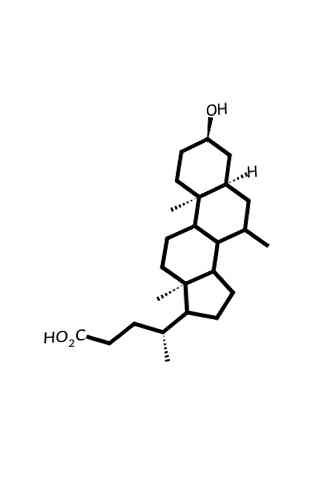 CC1C[C@@H]2C[C@H](O)CC[C@]2(C)C2CC[C@@]3(C)C(CCC3[C@H](C)CCC(=O)O)C12